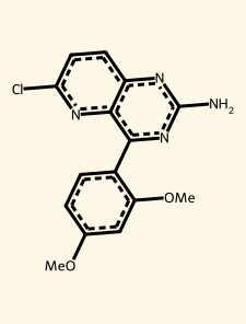 COc1ccc(-c2nc(N)nc3ccc(Cl)nc23)c(OC)c1